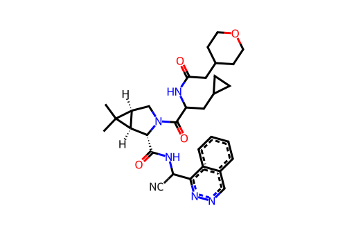 CC1(C)[C@@H]2[C@@H](C(=O)NC(C#N)c3nncc4ccccc34)N(C(=O)C(CC3CC3)NC(=O)CC3CCOCC3)C[C@@H]21